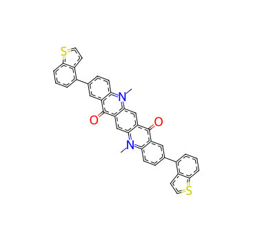 Cn1c2ccc(-c3cccc4sccc34)cc2c(=O)c2cc3c(cc21)c(=O)c1cc(-c2cccc4sccc24)ccc1n3C